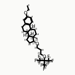 CCOc1ccc2c(c1)CC[C@@H]1[C@@H]2CC[C@]2(C)[C@@H](OCCCOC(C(F)(F)F)(C(F)(F)F)C(F)(F)F)CC[C@@H]12